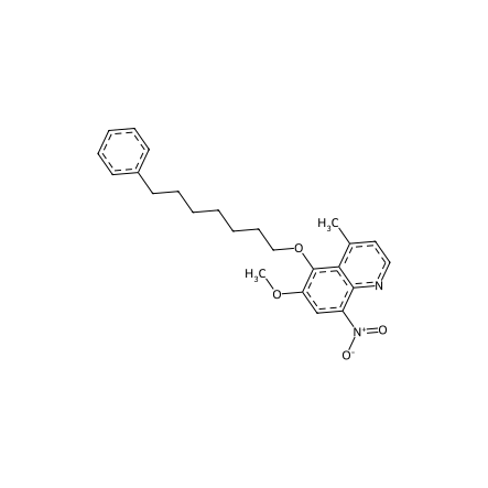 COc1cc([N+](=O)[O-])c2nccc(C)c2c1OCCCCCCCc1ccccc1